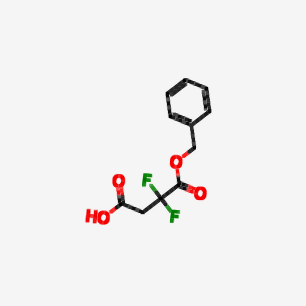 O=C(O)CC(F)(F)C(=O)OCc1ccccc1